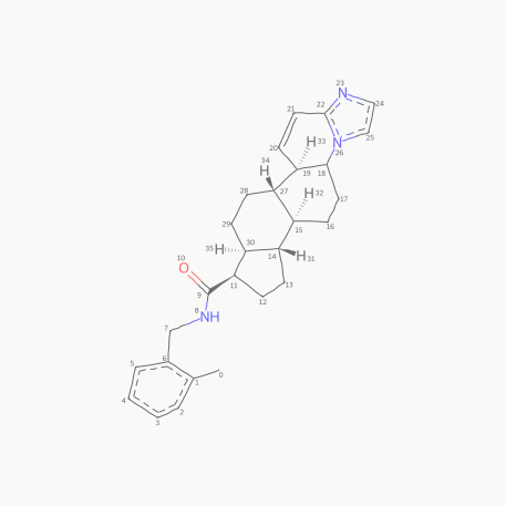 Cc1ccccc1CNC(=O)[C@@H]1CC[C@H]2[C@@H]3CCC4[C@H](C=Cc5nccn54)[C@H]3CC[C@@H]21